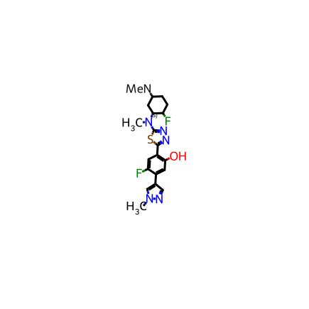 CNC1CCC(F)[C@@H](N(C)c2nnc(-c3cc(F)c(-c4cnn(C)c4)cc3O)s2)C1